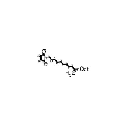 CCCCCCCCC(C)CCCCCCCCCN1C(=O)C=CC1=O